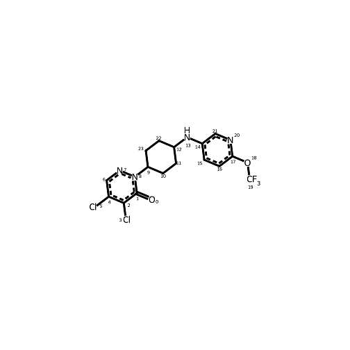 O=c1c(Cl)c(Cl)cnn1C1CCC(Nc2ccc(OC(F)(F)F)nc2)CC1